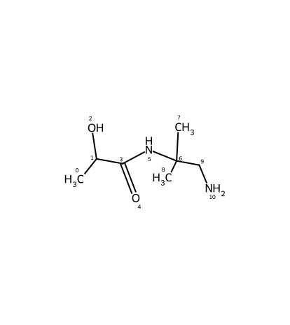 CC(O)C(=O)NC(C)(C)CN